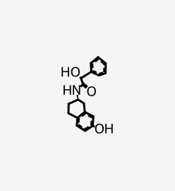 O=C(N[C@@H]1CCc2ccc(O)cc2C1)C(O)c1ccccc1